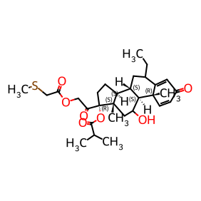 CCC1C[C@@H]2[C@H](C(O)C[C@@]3(C)[C@H]2CC[C@]3(OC(=O)C(C)C)C(=O)COC(=O)CSC)[C@@]2(C)C=CC(=O)C=C12